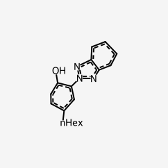 CCCCCCc1ccc(O)c(-n2nc3ccccc3n2)c1